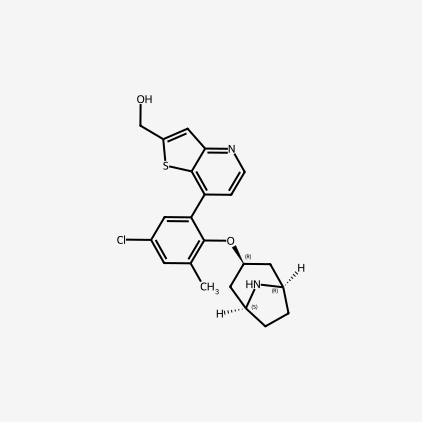 Cc1cc(Cl)cc(-c2ccnc3cc(CO)sc23)c1O[C@H]1C[C@H]2CC[C@@H](C1)N2